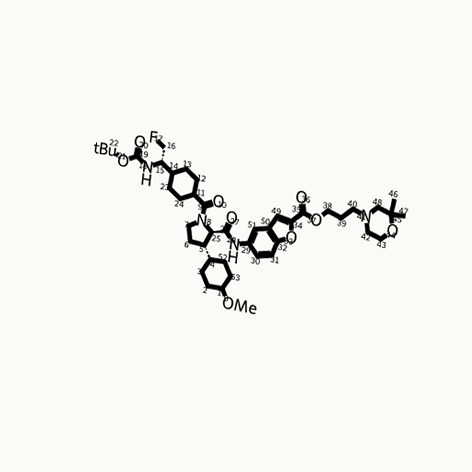 COC1CCC([C@@H]2CCN(C(=O)C3CCC([C@@H](CF)NC(=O)OC(C)(C)C)CC3)[C@H]2C(=O)Nc2ccc3oc(C(=O)OCCCN4CCOC(C)(C)C4)cc3c2)CC1